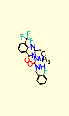 CCc1nc2c(C(F)(F)F)cccc2c(=O)n1NC(=O)NCc1ccccc1F